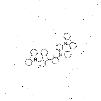 c1cc(-n2c3ccccc3c3c(-n4c5ccccc5c5ccccc54)cccc32)nc(-n2c3ccccc3c3c(-n4c5ccccc5c5ccccc54)cccc32)c1